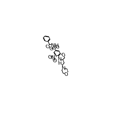 O=C(NS(=O)(=O)c1cc2c(c([N+](=O)[O-])c1)NC(CCN1CCOCC1)CO2)c1ccccc1